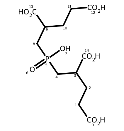 O=C(O)CCC(CP(=O)(O)CC(CCC(=O)O)C(=O)O)C(=O)O